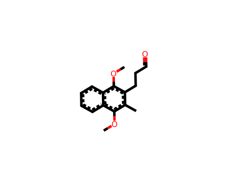 COc1c(C)c(CCC=O)c(OC)c2ccccc12